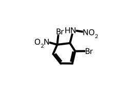 O=[N+]([O-])NC1C(Br)=CC=CC1(Br)[N+](=O)[O-]